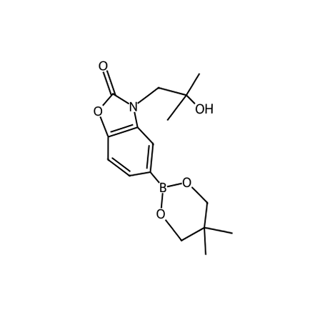 CC(C)(O)Cn1c(=O)oc2ccc(B3OCC(C)(C)CO3)cc21